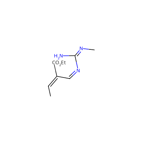 C\C=C(/C=N\C(N)=N/C)C(=O)OCC